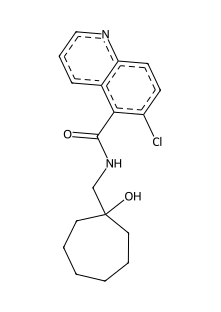 O=C(NCC1(O)CCCCCC1)c1c(Cl)ccc2ncccc12